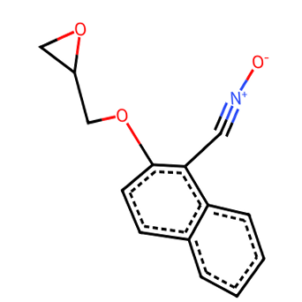 [O-][N+]#Cc1c(OCC2CO2)ccc2ccccc12